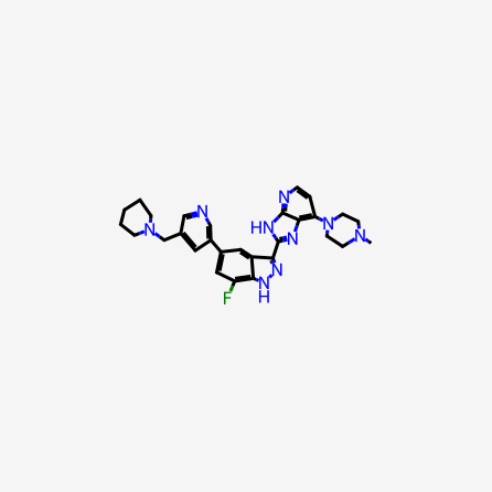 CN1CCN(c2ccnc3[nH]c(-c4n[nH]c5c(F)cc(-c6cncc(CN7CCCCC7)c6)cc45)nc23)CC1